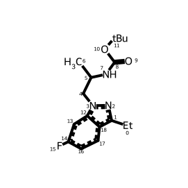 CCc1nn(CC(C)NC(=O)OC(C)(C)C)c2cc(F)ccc12